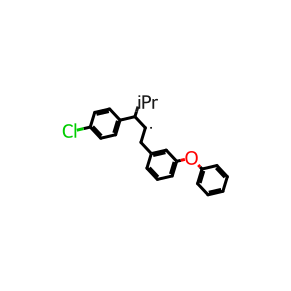 CC(C)C([CH]Cc1cccc(Oc2ccccc2)c1)c1ccc(Cl)cc1